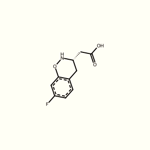 O=C(O)C[C@@H]1Cc2ccc(F)cc2ON1